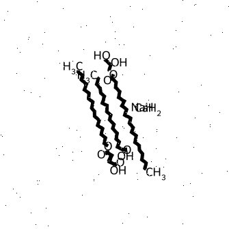 CCCCCCCCCCCCCCCCCC(=O)O.CCCCCCCCCCCCCCCCCCCCCC(=O)OCC(O)CO.CCCCCCCCCCCCCCCCCCOC(=O)/C=C/C(=O)O.[CaH2].[NaH]